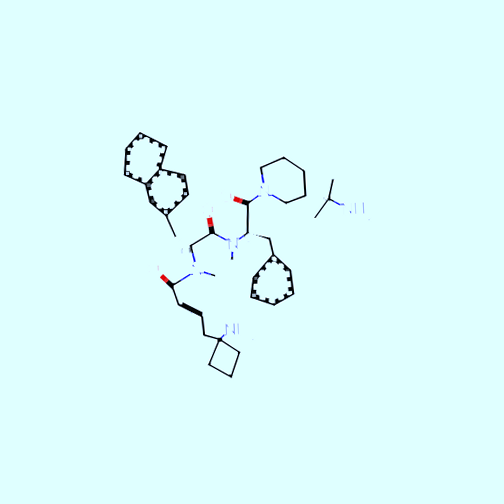 CN(C(=O)/C=C/CC1(N)CCC1)[C@H](Cc1ccc2ccccc2c1)C(=O)N(C)[C@H](Cc1ccccc1)C(=O)N1CCC[C@H](C(C)(C)N)C1